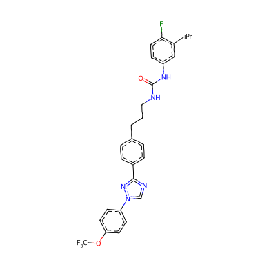 CC(C)c1cc(NC(=O)NCCCc2ccc(-c3ncn(-c4ccc(OC(F)(F)F)cc4)n3)cc2)ccc1F